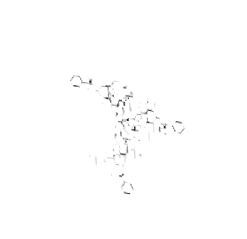 CC(=O)OC(COCC(COCC(CN1C(C)(C)CC(OC(=O)c2ccccc2)CC1(C)C)OC(C)=O)OCC(CN1C(C)(C)CC(OC(=O)c2ccccc2)CC1(C)C)OC(C)=O)CN1C(C)(C)CC(OC(=O)c2ccccc2)CC1(C)C